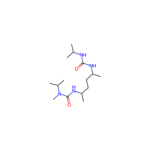 CC(C)NC(=O)NC(C)CCC(C)NC(=O)N(C)C(C)C